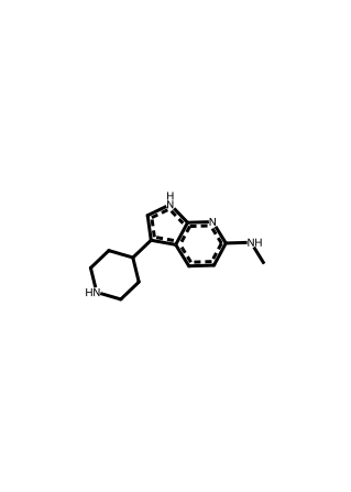 CNc1ccc2c(C3CCNCC3)c[nH]c2n1